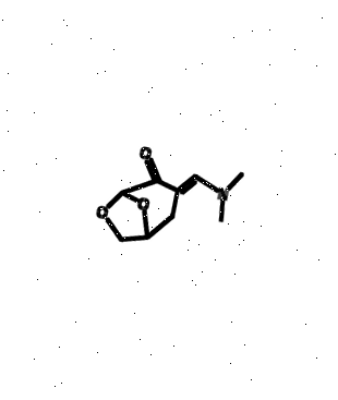 CN(C)C=C1CC2COC(O2)C1=O